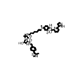 COc1cc(N(C)CCCCCCC(=O)N[C@H](C(=O)N2C[C@H](O)C[C@H]2C(=O)NCc2ccc(-c3scnc3C)cc2)C(C)(C)C)ccc1NC(=O)c1cccc(-c2ccn[nH]2)n1